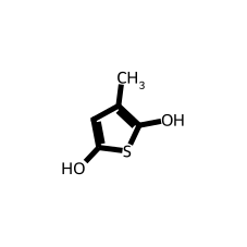 Cc1cc(O)sc1O